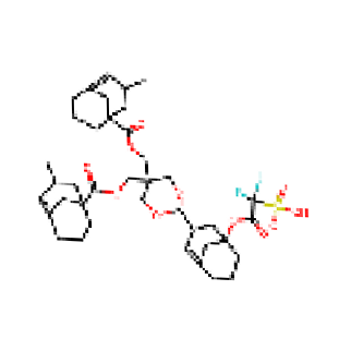 CC1C=C2CCCC(C(=O)OCC3(COC(=O)C45CCCC(=CC(C)C4)C5)COC(C4C=C5CCCC(OC(=O)C(F)(F)S(=O)(=O)O)(C5)C4)OC3)(C2)C1